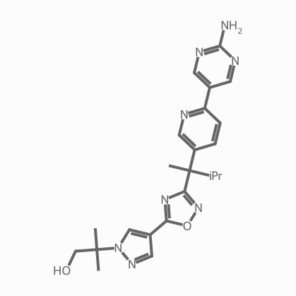 CC(C)C(C)(c1ccc(-c2cnc(N)nc2)nc1)c1noc(-c2cnn(C(C)(C)CO)c2)n1